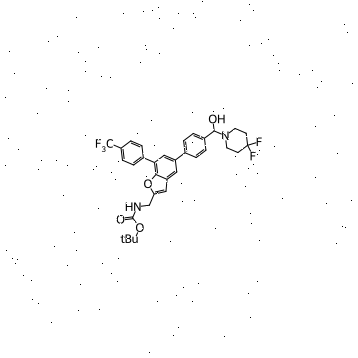 CC(C)(C)OC(=O)NCc1cc2cc(-c3ccc(C(O)N4CCC(F)(F)CC4)cc3)cc(-c3ccc(C(F)(F)F)cc3)c2o1